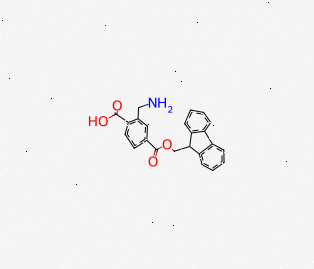 NCc1cc(C(=O)OCC2c3ccccc3-c3ccccc32)ccc1C(=O)O